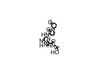 CNc1cc(Nc2cccn([C@H]3CCC[C@H](OC)C3)c2=O)nc2c(C(=O)NCC(C)(C)CO)cnn12